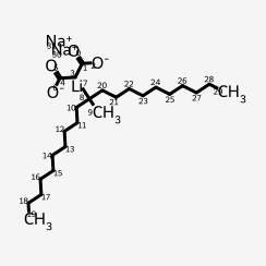 O=C([O-])CC(=O)[O-].[Li][C](C)(CCCCCCCCCC)CCCCCCCCCC.[Na+].[Na+]